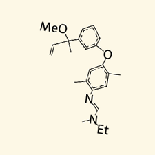 C=CC(C)(OC)c1cccc(Oc2cc(C)c(N=CN(C)CC)cc2C)c1